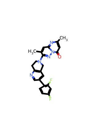 Cc1cc(=O)n2nc(N3CCc4ncc(-c5ccc(F)cc5F)cc4C3)c(C)cc2n1